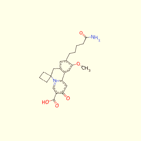 COc1cc2c(cc1CCCCC(N)=O)CC1(CCC1)n1cc(C(=O)O)c(=O)cc1-2